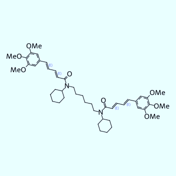 COc1cc(/C=C/C=C/C(=O)N(CCCCCCN(C(=O)/C=C/C=C/c2cc(OC)c(OC)c(OC)c2)C2CCCCC2)C2CCCCC2)cc(OC)c1OC